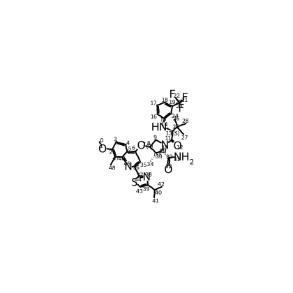 COc1ccc2c(O[C@H]3CN(C(=O)[C@@H](Nc4cccc(C(F)(F)F)c4)C(C)(C)C)[C@H](C(N)=O)[C@@H]3C)cc(-c3nc(C(C)C)cs3)nc2c1C